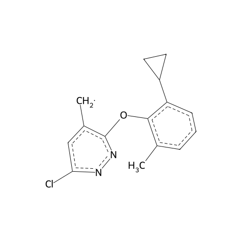 [CH2]c1cc(Cl)nnc1Oc1c(C)cccc1C1CC1